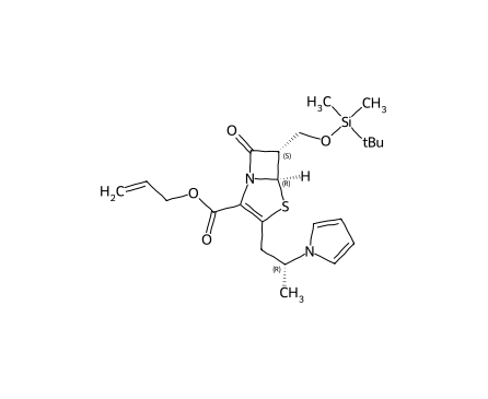 C=CCOC(=O)C1=C(C[C@@H](C)n2cccc2)S[C@@H]2[C@@H](CO[Si](C)(C)C(C)(C)C)C(=O)N12